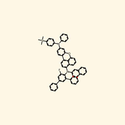 C[Si](C)(C)c1ccc(N(c2ccccc2)c2ccc3c(c2)Oc2cccc4c(N(c5ccc6ccccc6c5)c5c(F)cc(-c6ccccc6)cc5-c5ccccc5)ccc-3c24)cc1